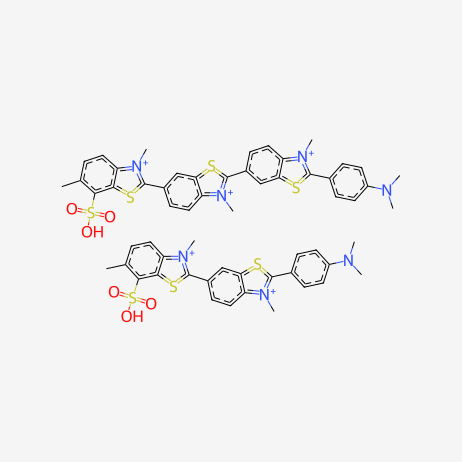 Cc1ccc2c(sc(-c3ccc4c(c3)sc(-c3ccc(N(C)C)cc3)[n+]4C)[n+]2C)c1S(=O)(=O)O.Cc1ccc2c(sc(-c3ccc4c(c3)sc(-c3ccc5c(c3)sc(-c3ccc(N(C)C)cc3)[n+]5C)[n+]4C)[n+]2C)c1S(=O)(=O)O